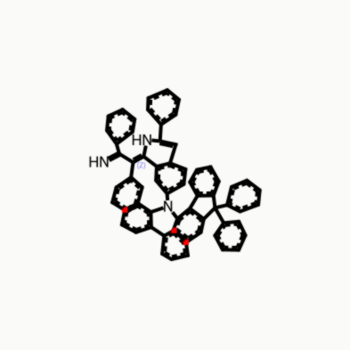 N=C(/C(=C1\NC(c2ccccc2)=Cc2ccc(N(c3ccccc3-c3ccccc3)c3cccc4c3-c3ccccc3C4(c3ccccc3)c3ccccc3)cc21)c1ccccc1)c1ccccc1